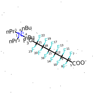 CCCC[N+](CCC)(CCC)CCCC.O=C([O-])C(F)(F)C(F)(F)C(F)(F)C(F)(F)C(F)(F)C(F)(F)C(F)(F)F